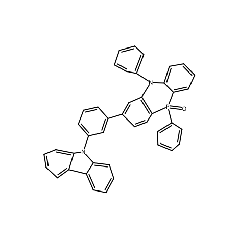 O=P1(c2ccccc2)c2ccccc2N(c2ccccc2)c2cc(-c3cccc(-n4c5ccccc5c5ccccc54)c3)ccc21